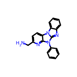 NCc1ccc2c(n1)n(-c1ccccc1)c1nc3ccccc3n21